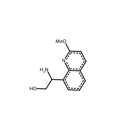 COc1ccc2cccc(C(N)CO)c2n1